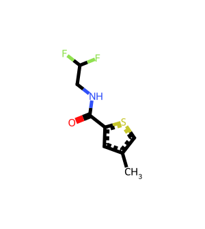 Cc1csc(C(=O)NCC(F)F)c1